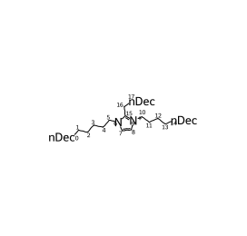 CCCCCCCCCCCCCCCn1cc[n+](CCCCCCCCCCCCCC)c1CCCCCCCCCCC